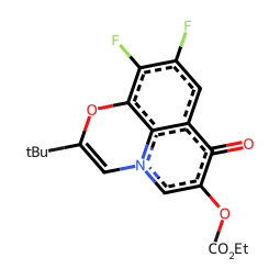 CCOC(=O)Oc1cn2c3c(c(F)c(F)cc3c1=O)OC(C(C)(C)C)=C2